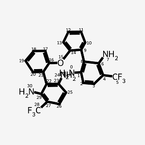 Nc1ccc(C(F)(F)F)c(N)c1-c1ccccc1Oc1ccccc1-c1c(N)ccc(C(F)(F)F)c1N